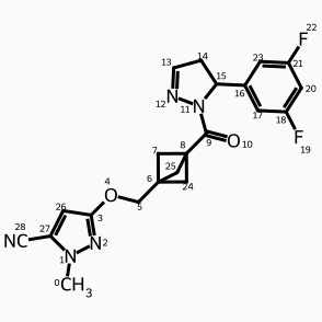 Cn1nc(OCC23CC(C(=O)N4N=CCC4c4cc(F)cc(F)c4)(C2)C3)cc1C#N